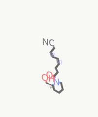 N#CC/C=C\C=C/CCC(=O)N1CCCC[C@H]1CO